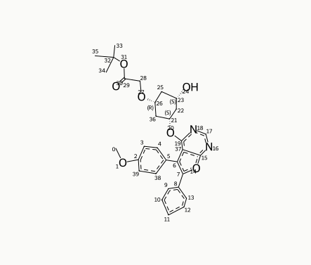 COc1ccc(-c2c(-c3ccccc3)oc3ncnc(O[C@H]4C[C@@H](O)C[C@@H](OCC(=O)OC(C)(C)C)C4)c23)cc1